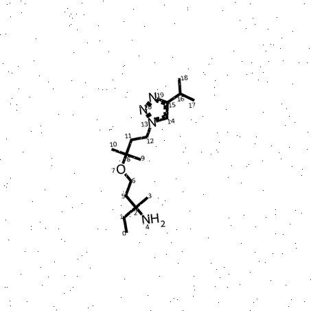 CCC(C)(N)CCOC(C)(C)CCn1cc(C(C)C)nn1